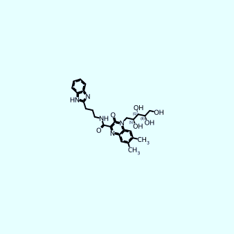 Cc1cc2nc(C(=O)NCCCc3nc4ccccc4[nH]3)c(=O)n(C[C@H](O)[C@H](O)[C@H](O)CO)c2cc1C